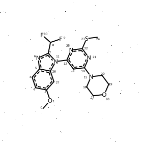 COc1ccc2nc(C(F)F)n(-c3cc(N4CCOCC4)nc(SC)n3)c2c1